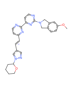 COc1ccc2c(c1)CN(c1nccc(-c3nccc(/C=C/c4cnn(C5CCCCO5)c4)n3)n1)C2